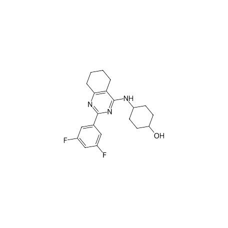 OC1CCC(Nc2nc(-c3cc(F)cc(F)c3)nc3c2CCCC3)CC1